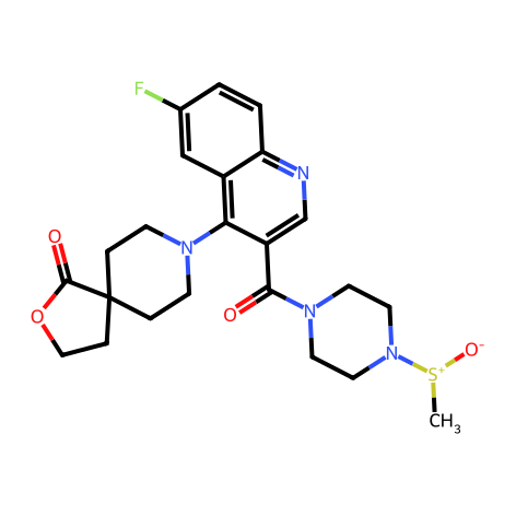 C[S+]([O-])N1CCN(C(=O)c2cnc3ccc(F)cc3c2N2CCC3(CCOC3=O)CC2)CC1